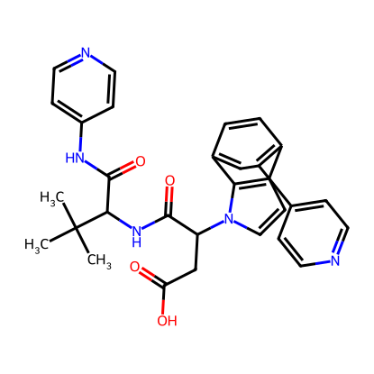 CC(C)(C)C(NC(=O)C(CC(=O)O)n1ccc2c3ccc(cc3-c3ccncc3)c21)C(=O)Nc1ccncc1